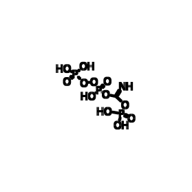 N=C(OP(=O)(O)O)OP(=O)(O)OOP(=O)(O)O